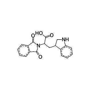 O=C(O)C(CC1CNc2ccccc21)N1C(=O)c2ccccc2C1=O